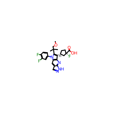 COCC(C)(C)c1c([C@@H]2CC[C@@](F)(C(=O)O)C2)c2nc3[nH]ncc3cc2n1-c1ccc(F)c(F)c1